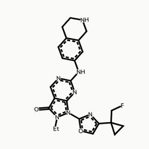 CCn1c(=O)c2cnc(Nc3ccc4c(c3)CNCC4)nc2n1-c1nc(C2(CF)CC2)co1